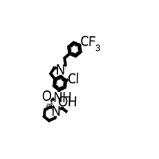 CC(O)N1CCCC[C@@H]1C(=O)Nc1cc(Cl)c2c(c1)CCN2CCc1ccc(C(F)(F)F)cc1